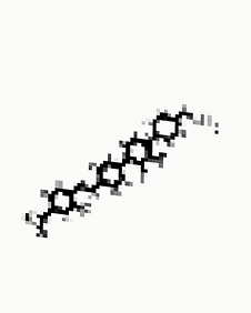 C=CC1CCC(c2ccc(-c3ccc(CCc4ccc(C5CO5)cc4F)cc3)c(F)c2F)CC1